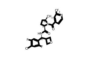 C[C@@H]1CC[C@H](C(=O)N[C@@H](c2cc(F)c(Cl)cc2F)C2COC2)N1C(=O)c1ccnc(C(F)(F)F)c1